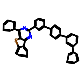 c1ccc(-c2cccc(-c3ccc(-c4cccc(-c5nc(-c6ccccc6)c6sc7ccccc7c6n5)c4)cc3)c2)cc1